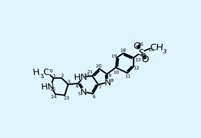 CC1CC(c2ncc3nc(-c4ccc(S(C)(=O)=O)cc4)cc-3[nH]2)CCN1